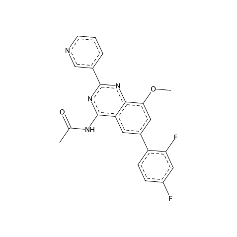 COc1cc(-c2ccc(F)cc2F)cc2c(NC(C)=O)nc(-c3cccnc3)nc12